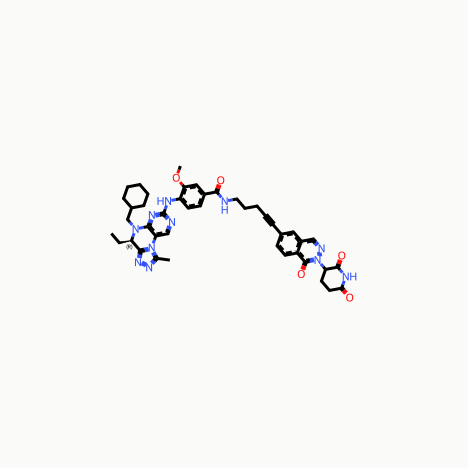 CC[C@@H]1c2nnc(C)n2-c2cnc(Nc3ccc(C(=O)NCCCC#Cc4ccc5c(=O)n(C6CCC(=O)NC6=O)ncc5c4)cc3OC)nc2N1CC1CCCCC1